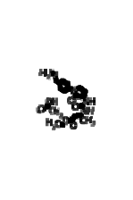 CC(=O)O.CCOC(=O)C[C@@H](C)NC(=O)N[C@H]1CCN(c2ccc(C=NN)cc2)C1=O